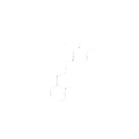 Cc1nnccc1C(=O)COc1ccc(Br)c(F)c1O